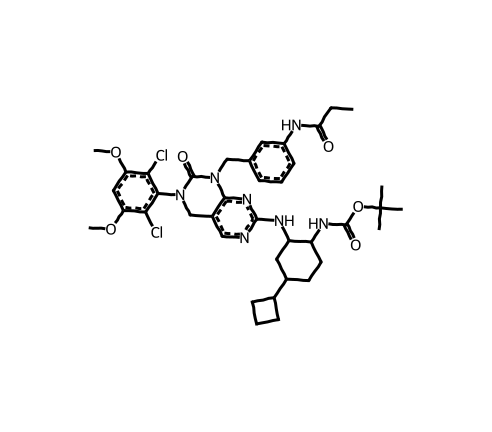 CCC(=O)Nc1cccc(CN2C(=O)N(c3c(Cl)c(OC)cc(OC)c3Cl)Cc3cnc(NC4CC(C5CCC5)CCC4NC(=O)OC(C)(C)C)nc32)c1